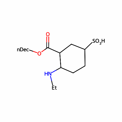 CCCCCCCCCCOC(=O)C1CC(S(=O)(=O)O)CCC1NCC